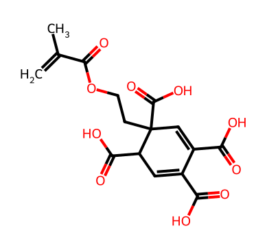 C=C(C)C(=O)OCCC1(C(=O)O)C=C(C(=O)O)C(C(=O)O)=CC1C(=O)O